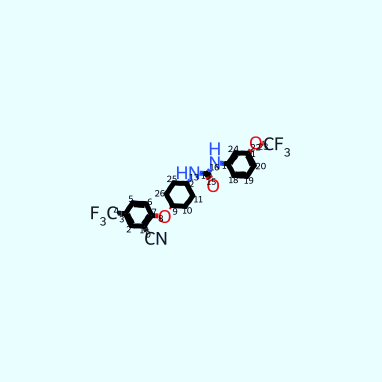 N#Cc1cc(C(F)(F)F)ccc1O[C@H]1CC[C@H](NC(=O)Nc2cccc(OC(F)(F)F)c2)CC1